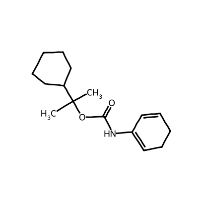 CC(C)(OC(=O)NC1=CCCC=C1)C1CCCCC1